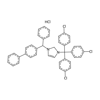 Cl.Clc1ccc(C(c2ccc(Cl)cc2)(c2ccc(Cl)cc2)N2C=CN(C(c3ccccc3)c3ccc(-c4ccccc4)cc3)C2)cc1